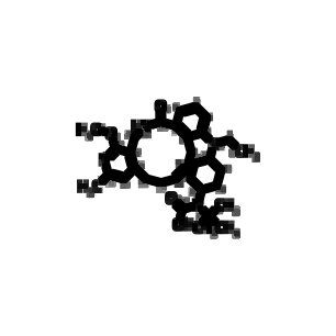 CCN(c1cccc2c1C/C=C\CCc1cc(C)nc(OC)c1CNC2=O)C1CCC(N(C(=O)O)C(C)(C)C)CC1